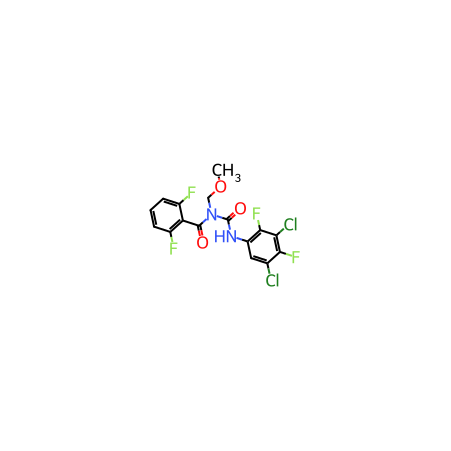 COCN(C(=O)Nc1cc(Cl)c(F)c(Cl)c1F)C(=O)c1c(F)cccc1F